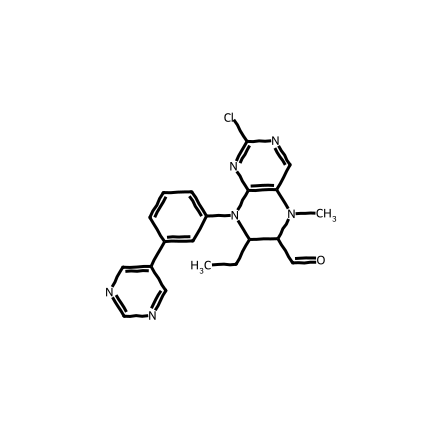 CCC1C(C=O)N(C)c2cnc(Cl)nc2N1c1cccc(-c2cncnc2)c1